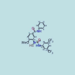 COc1ccc(C(=O)Nc2ccccc2)cc1N(S)C(=O)Nc1cc(C(F)(F)F)cc(C(F)(F)F)c1